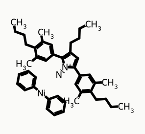 CCCCC1=C(c2cc(C)c(CCCC)c(C)c2)[N+](=[N-])C(c2cc(C)c(CCCC)c(C)c2)=C1.c1cc[c]([Ni][c]2ccccc2)cc1